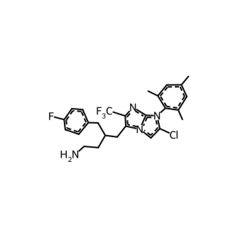 Cc1cc(C)c(-n2c(Cl)cn3c(CC(CCN)Cc4ccc(F)cc4)c(C(F)(F)F)nc23)c(C)c1